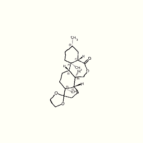 C[C@H]1CC[C@@]2(C)[C@H](C1)C(=O)OC[C@@H]1[C@@H]2CC[C@@]2(C)[C@H]1CCC21OCCO1